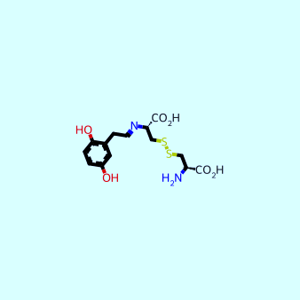 N[C@@H](CSSC[C@H](N=CCc1cc(O)ccc1O)C(=O)O)C(=O)O